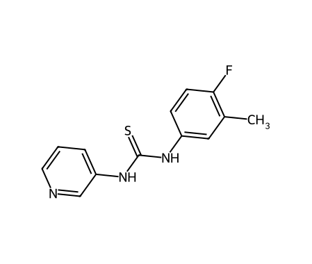 Cc1cc(NC(=S)Nc2cccnc2)ccc1F